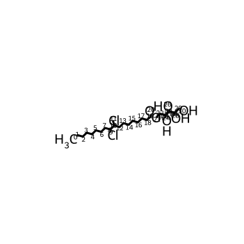 CCCCCCCCC(Cl)C(Cl)CCCCCCCC(=O)OC[C@H](O)[C@H](O)[C@H](O)CO